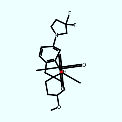 COC1CCC2(CC1)Cc1ccc(N3CCC(F)(F)C3)cc1C21NC(=O)N(C)C1=O